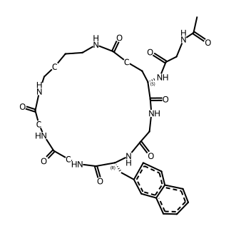 CC(=O)NCC(=O)N[C@H]1CCC(=O)NCCCCNC(=O)CNC(=O)CNC(=O)[C@@H](Cc2ccc3ccccc3c2)NC(=O)CNC1=O